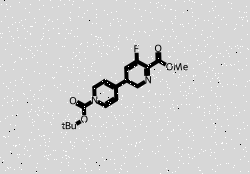 COC(=O)C1=NCC(C2=CCN(C(=O)OC(C)(C)C)C=C2)C=C1F